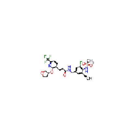 C#Cc1cc(CNC(=O)C=Cc2ccc(C(F)(F)F)nc2OC2CCOC2)cc(F)c1NS(C)(=O)=O